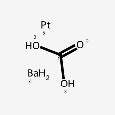 O=C(O)O.[BaH2].[Pt]